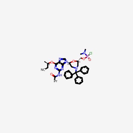 CC(C)C(=O)Nc1nc(O[C@H](C)CC#N)c2ncn([C@H]3CN(C(c4ccccc4)(c4ccccc4)c4ccccc4)C[C@@H](COP(=O)(Cl)N(C)C)O3)c2n1